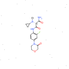 CCN(C1CC1)[C@H](C(N)=O)C(=O)Nc1ccc(N2CCOCC2=O)cc1F